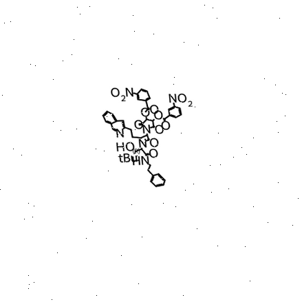 CC(C)(C)[C@@H](O)C(C(=O)NCCc1ccccc1)N1C(=O)C(N2C(=O)C(OC(=O)c3cccc([N+](=O)[O-])c3)C(OC(=O)c3cccc([N+](=O)[O-])c3)C2=O)C1CCc1cc2ccccc2cn1